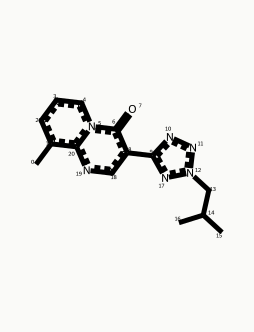 Cc1cccn2c(=O)c(-c3nnn(CC(C)C)n3)cnc12